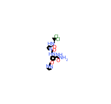 N=C(C(N)=O)c1cc(OCc2ncccn2)ccc1NCC(=O)N1CCC[C@H]1C(=O)NC[C@H]1CC1(Cl)Cl